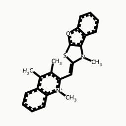 Cc1c(C)c2ccccc2[n+](C)c1C=C1Sc2oc3ccccc3c2N1C